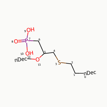 CCCCCCCCCCCCSCC(CP(=O)(O)O)OCCCCCCCCCC